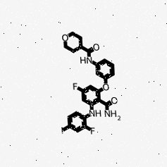 NC(=O)c1c(Nc2ccc(I)cc2F)cc(F)cc1Oc1cccc(NC(=O)C2CCOCC2)c1